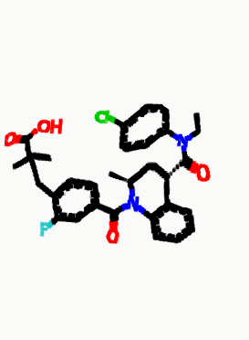 CCN(C(=O)[C@H]1C[C@H](C)N(C(=O)c2ccc(CC(C)(C)C(=O)O)c(F)c2)c2ccccc21)c1ccc(Cl)cc1